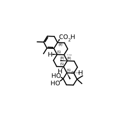 CC1=CC[C@]2(C(=O)O)CC[C@]3(C)[C@H](CC[C@@H]4[C@]5(C)[C@@H](CC[C@]43C)C(C)(C)CCC5(O)O)C2=C1C